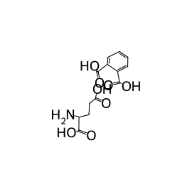 NC(CCC(=O)O)C(=O)O.O=C(O)c1ccccc1C(=O)O